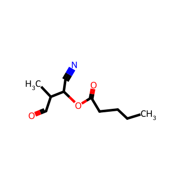 CCCCC(=O)OC(C#N)C(C)C=O